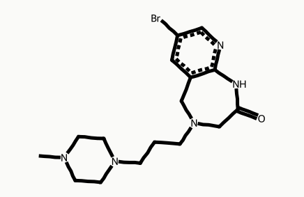 CN1CCN(CCCN2CC(=O)Nc3ncc(Br)cc3C2)CC1